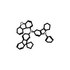 C1=CC2OC3CCC=CC3C2C(N(C2C=C3C(=CC2)C2C=CC=CC2C32CCCC2)C2C=Cc3c(c4c(n3C3=CCCC=C3)CCCC4)C2)=C1